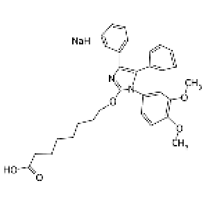 COc1ccc(-n2c(OCCCCCCCC(=O)O)nc(-c3ccccc3)c2-c2ccccc2)cc1OC.[NaH]